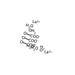 O.O.O.O.O.O=C([O-])[O-].O=C([O-])[O-].O=C([O-])[O-].[La+3].[La+3]